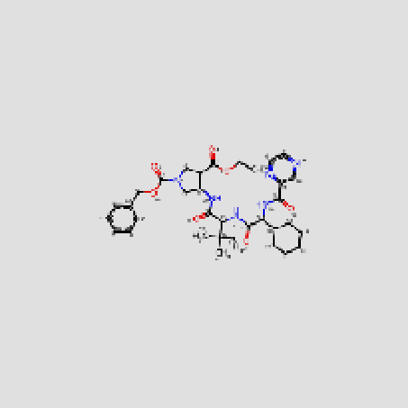 CCOC(=O)C1CN(C(=O)OCc2ccccc2)C[C@@H]1NC(=O)C(NC(=O)[C@@H](NC(=O)c1cnccn1)C1CCCCC1)C(C)(C)C